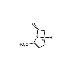 O=C(O)C1=CC[C@H]2CC(=O)N12